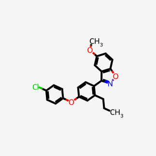 CCCc1cc(Oc2ccc(Cl)cc2)ccc1-c1noc2ccc(OC)cc12